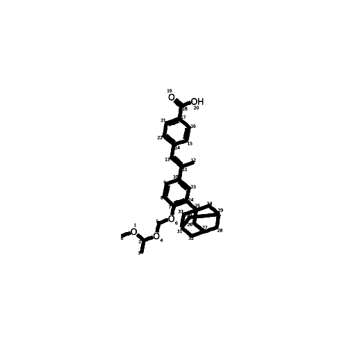 COC(C)OCOc1ccc(C(C)=Cc2ccc(C(=O)O)cc2)cc1C12CC3CC(CC(C3)C1)C2